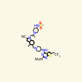 CNc1nc(NC2CCN(Cc3ccc4c(cc(C#N)n4C[C@H](C)N4CCC(NS(C)(=O)=O)CC4)c3C)CC2)c2cc(CC(F)(F)F)sc2n1